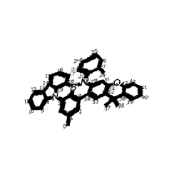 Cc1cc2c3c(c1)-n1c4ccccc4c4cccc(c41)B3N(c1ccccc1C)c1cc3c(cc1-2)C(C)(C)c1ccccc1O3